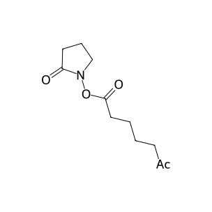 CC(=O)CCCCC(=O)ON1CCCC1=O